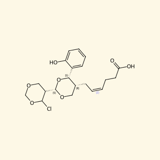 O=C(O)CC/C=C\C[C@@H]1CO[C@H](C2COCOC2Cl)O[C@@H]1c1ccccc1O